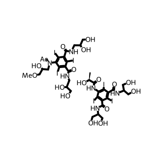 COCC(O)CN(C(C)=O)c1c(I)c(C(=O)NCC(O)CO)c(I)c(C(=O)NCC(O)CO)c1I.C[C@H](O)C(=O)Nc1c(I)c(C(=O)NC(CO)CO)c(I)c(C(=O)NC(CO)CO)c1I